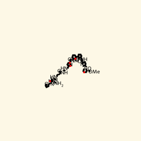 COC(=O)[C@@H]1CCCCN1Cc1ccc(C(=O)Nc2cccc(-c3cccc(NC(=O)c4ccc(CNCCNC(=O)CCCNc5nc(N)n6nc(-c7ccco7)nc6n5)cn4)c3C)c2Cl)nc1